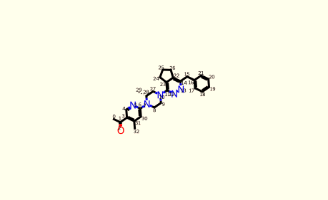 CC(=O)c1cnc(N2CCN(c3nnc(Cc4ccccc4)c4c3CCC4)C[C@H]2C)cc1C